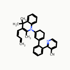 C=C/C=C\C1=C(C)N(C2=CC(c3ccccc3-c3ncccc3C#N)=CCC2)c2ccccc2C1(C)C